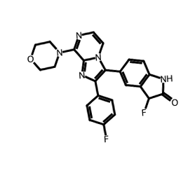 O=C1Nc2ccc(-c3c(-c4ccc(F)cc4)nc4c(N5CCOCC5)nccn34)cc2C1F